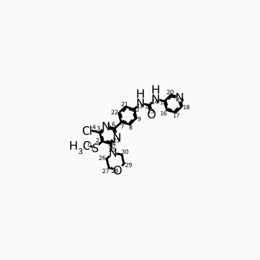 CSc1c(Cl)nc(-c2ccc(NC(=O)Nc3cccnc3)cc2)nc1N1CCOCC1